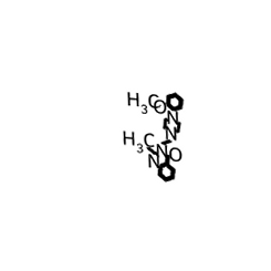 CCc1nc2ccccc2c(=O)n1CCN1CCN(c2ccccc2OC)CC1